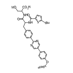 CCCCCCCOc1ccc(-c2cnc(-c3ccc(CC(NC(=O)c4ccc(C(C)(C)C)s4)C(=O)NC(CO)C(=O)O)cc3)nc2)cc1